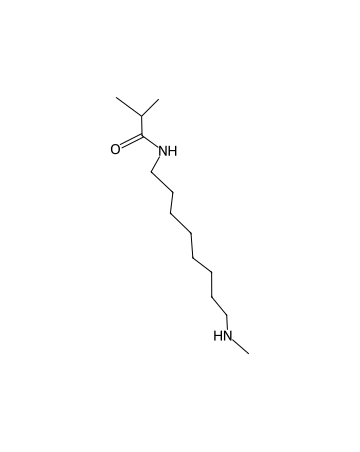 CNCCCCCCCCNC(=O)C(C)C